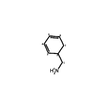 NC[C]1C=CC=CC1